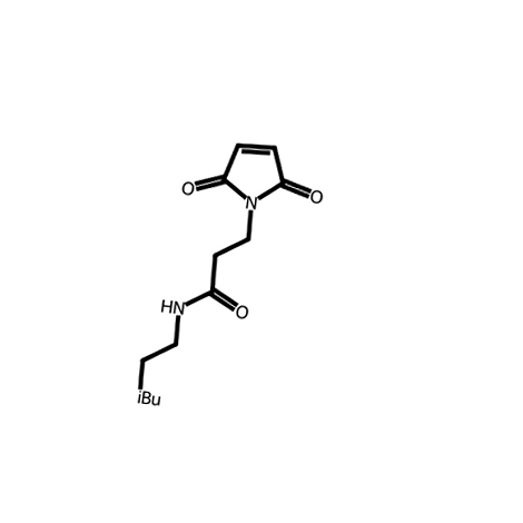 CCC(C)CCNC(=O)CCN1C(=O)C=CC1=O